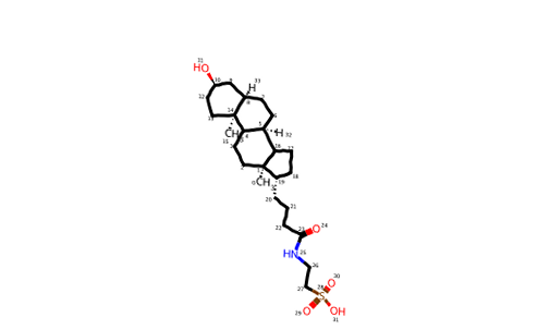 C[C@]12CCC3[C@@H](CC[C@@H]4C[C@H](O)CC[C@]34C)C1CC[C@@H]2CCCC(=O)NCCS(=O)(=O)O